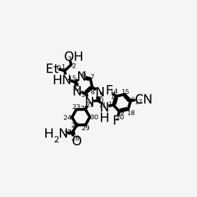 CCC(CO)Nc1ncc2nc(Nc3c(F)cc(C#N)cc3F)n(C3CCC(C(N)=O)CC3)c2n1